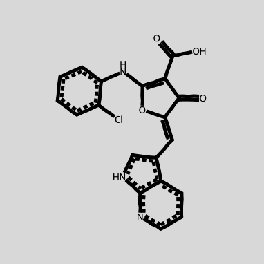 O=C(O)C1=C(Nc2ccccc2Cl)O/C(=C\c2c[nH]c3ncccc23)C1=O